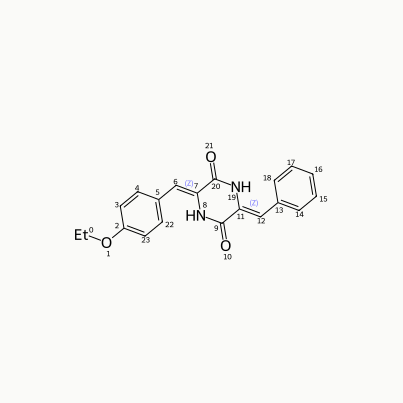 CCOc1ccc(/C=c2\[nH]c(=O)/c(=C/c3ccccc3)[nH]c2=O)cc1